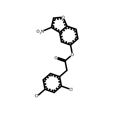 O=C(Cc1ccc(Cl)cc1Cl)Oc1ccc2occ([N+](=O)[O-])c2c1